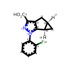 O=C(O)c1nn(-c2ccccc2F)c2c1C[C@H]1C[C@@H]21